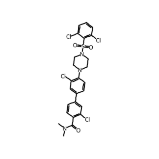 CN(C)C(=O)c1ccc(-c2ccc(N3CCN(S(=O)(=O)c4c(Cl)cccc4Cl)CC3)c(Cl)c2)cc1Cl